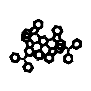 c1ccc(N(c2ccccc2)c2ccc3c(c2)c2ccccc2n3-c2nc(-n3c4ccccc4c4ccccc43)c(-n3c4ccccc4c4cc(N(c5ccccc5)c5ccccc5)ccc43)c(-c3ccncc3)c2-n2c3ccccc3c3ccccc32)cc1